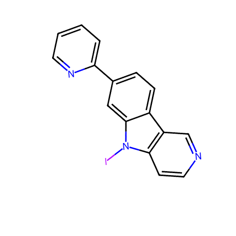 In1c2ccncc2c2ccc(-c3ccccn3)cc21